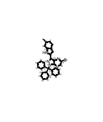 Cc1ccc2cc(-c3nn(C(c4ccccc4)(c4ccccc4)c4ccccc4)c4ncc(Br)nc34)[nH]c2c1